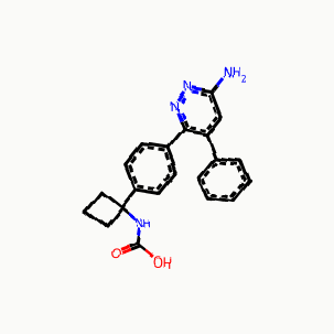 Nc1cc(-c2ccccc2)c(-c2ccc(C3(NC(=O)O)CCC3)cc2)nn1